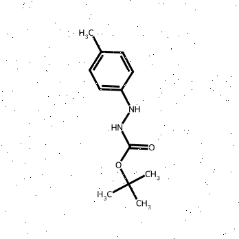 Cc1ccc(NNC(=O)OC(C)(C)C)cc1